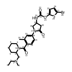 CCN(C)CC1CCCCN1C(=O)c1ccc(N2CC(NC(=O)Oc3ccc(Br)s3)CC2=O)cc1C